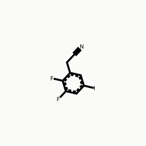 N#CCc1cc(I)cc(F)c1F